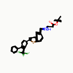 CC(C)(C)OC(=O)CCNCc1ccc2sc(-c3ccc(-c4ccccc4)c(C(F)(F)F)c3)cc2c1